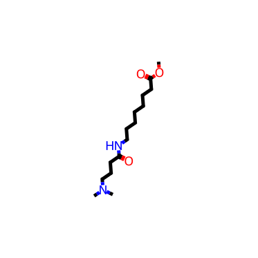 COC(=O)CCCCCCCNC(=O)CCCN(C)C